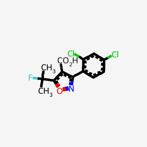 CC(C)(F)c1onc(-c2ccc(Cl)cc2Cl)c1C(=O)O